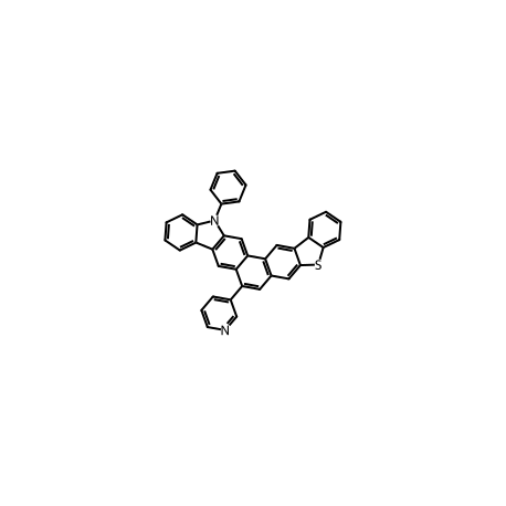 c1ccc(-n2c3ccccc3c3cc4c(-c5cccnc5)cc5cc6sc7ccccc7c6cc5c4cc32)cc1